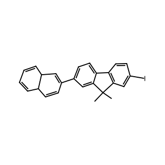 CC1(C)c2cc(I)ccc2-c2ccc(C3=CC4C=CC=CC4C=C3)cc21